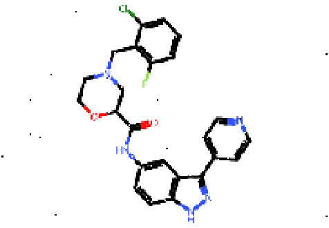 O=C(Nc1ccc2[nH]nc(-c3ccncc3)c2c1)C1CN(Cc2c(F)cccc2Cl)CCO1